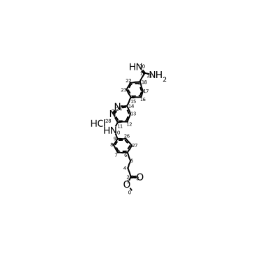 COC(=O)CCc1ccc(Nc2ccc(-c3ccc(C(=N)N)cc3)nn2)cc1.Cl